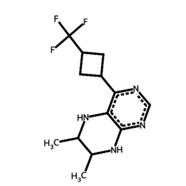 CC1Nc2ncnc(C3CC(C(F)(F)F)C3)c2NC1C